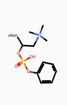 CCCCCCCCCC(C[N+](C)(C)C)OP(=O)(O)Oc1ccccc1